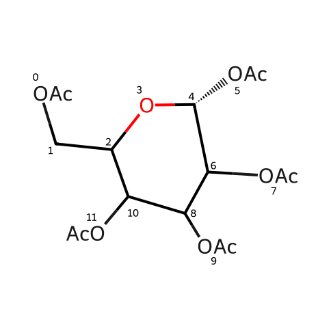 CC(=O)OCC1O[C@H](OC(C)=O)C(OC(C)=O)C(OC(C)=O)C1OC(C)=O